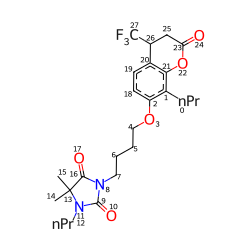 CCCc1c(OCCCCN2C(=O)N(CCC)C(C)(C)C2=O)ccc2c1OC(=O)CC2C(F)(F)F